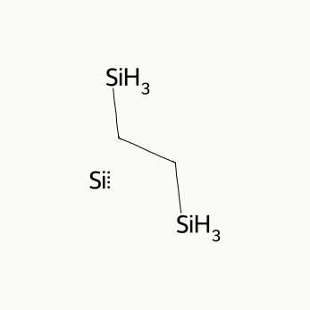 [SiH3]CC[SiH3].[Si]